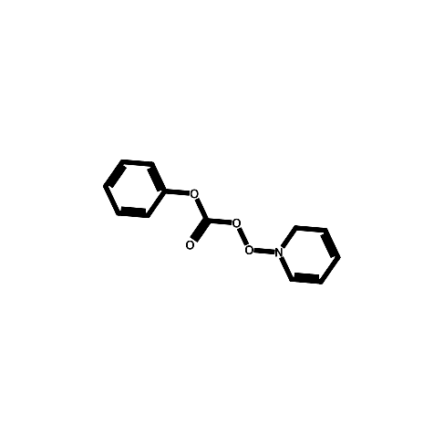 O=C(OON1C=CC=CC1)Oc1ccccc1